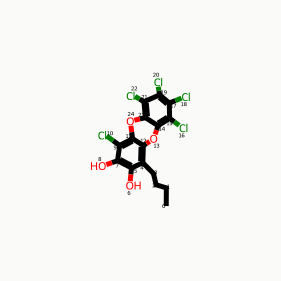 CCCCc1c(O)c(O)c(Cl)c2c1Oc1c(Cl)c(Cl)c(Cl)c(Cl)c1O2